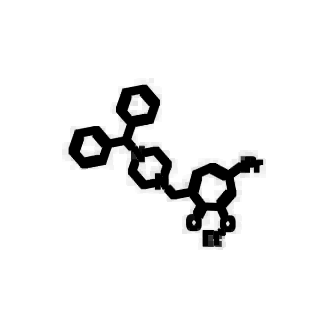 CCOc1cc(C(C)C)ccc(CN2CCN(C(c3ccccc3)c3ccccc3)CC2)c1=O